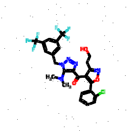 CN(C)c1c(C(=O)c2c(CCO)noc2-c2ccccc2Cl)nnn1Cc1cc(C(F)(F)F)cc(C(F)(F)F)c1